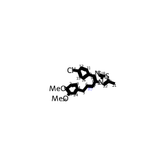 COc1ccc(C/C=C/c2c(-c3ccc(Cl)cc3)nc3sc(C)cn23)cc1OC